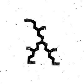 CCCCCCCCCCCCC(S)COP(OCC(S)CCCCCCCCCCCC)OCC(S)CCCCCCCCCCCC